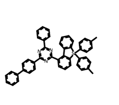 Cc1ccc([Si]2(c3ccc(C)cc3)c3ccccc3-c3c(-c4nc(-c5ccccc5)nc(-c5ccc(-c6ccccc6)cc5)n4)cccc32)cc1